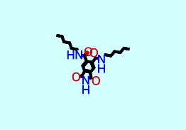 CCCCCCNC(=O)c1cc2c(cc1C(=O)NCCCCCC)C(=O)NC2=O